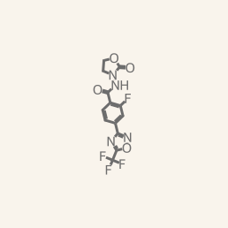 O=C(NN1CCOC1=O)c1ccc(-c2noc(C(F)(F)F)n2)cc1F